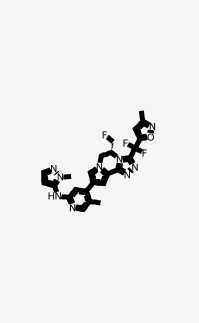 Cc1cc(C(F)(F)c2nnc3n2[C@@H](CF)Cn2cc(-c4cc(Nc5ccnn5C)ncc4C)cc2-3)on1